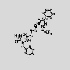 NC(=O)[C@H](Cc1ccccc1)NC(=O)CCCOc1cc(-c2cccnc2)nn1CC(F)(F)F